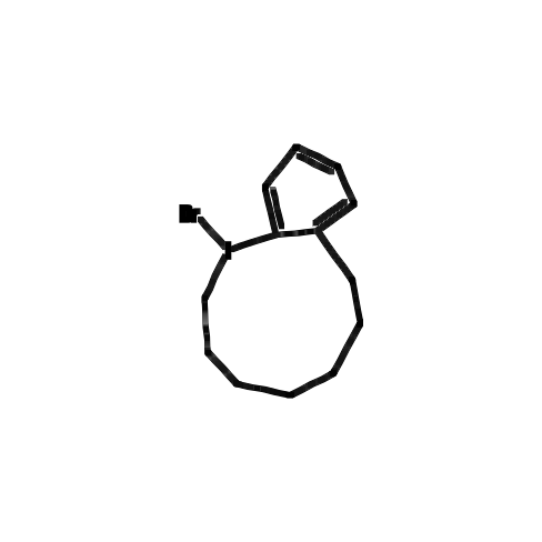 BrI1CCCCCCCc2ccccc21